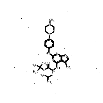 Cc1csc2nc(Nc3ccc(N4CCN(C)CC4)cc3)nc(N[C@H](CC(C)C)C(=O)OC(C)(C)C)c12